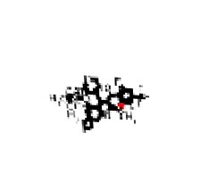 CC(C)c1nc2c(c(C3=CCOCC3)c1[C@H](O)c1ccc(C(F)(F)F)cc1F)C(O[Si](C)(C)C(C)(C)C)CC1(CCC1)C2